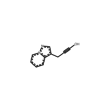 OC#CCc1cnn2ccccc12